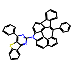 c1ccc(-c2c3c4ccccc4c4ccc5c(c4-3)c3c4c(cccc24)ccc3n5-c2nc(-c3ccccc3)c3sc4ccccc4c3n2)cc1